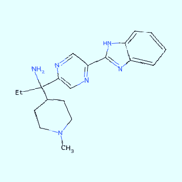 [CH2]CC(N)(c1cnc(-c2nc3ccccc3[nH]2)cn1)C1CCN(C)CC1